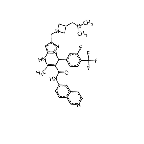 CC1=C(C(=O)Nc2ccc3cnccc3c2)C(c2ccc(C(F)(F)F)c(F)c2)n2nc(CN3CC(CN(C)C)C3)cc2N1